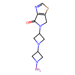 O=C1c2ncsc2CN1C1CN(C2CN(P)C2)C1